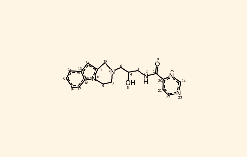 O=C(NCC(O)CN1CCn2c(cc3ccccc32)C1)c1ccncn1